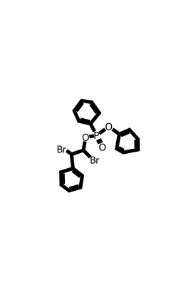 O=P(Oc1ccccc1)(OC(Br)C(Br)c1ccccc1)c1ccccc1